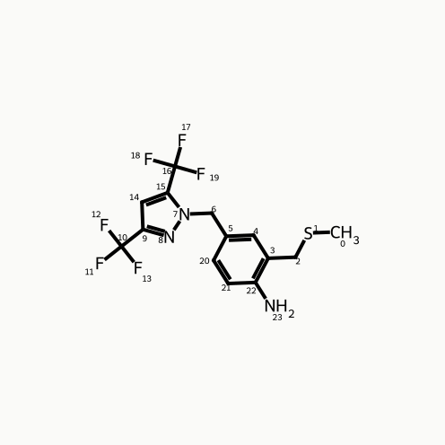 CSCc1cc(Cn2nc(C(F)(F)F)cc2C(F)(F)F)ccc1N